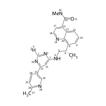 [2H]c1nc(NC[C@@H](C)c2cccc3c(C(=O)NC)ccnc23)cc(-c2ccc(C)nc2)n1